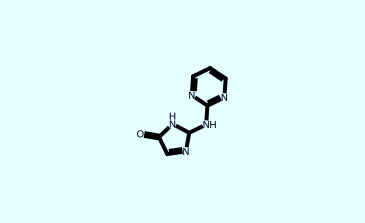 O=C1C=NC(Nc2ncccn2)N1